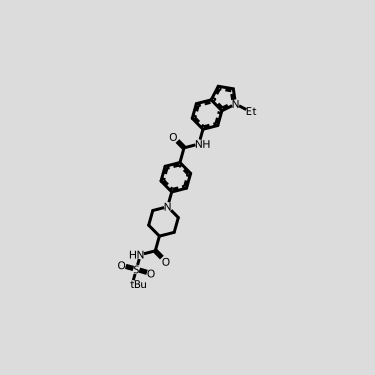 CCn1ccc2ccc(NC(=O)c3ccc(N4CCC(C(=O)NS(=O)(=O)C(C)(C)C)CC4)cc3)cc21